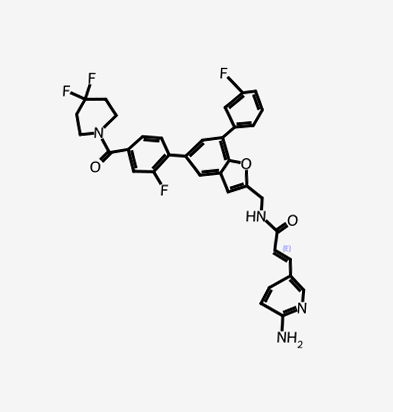 Nc1ccc(/C=C/C(=O)NCc2cc3cc(-c4ccc(C(=O)N5CCC(F)(F)CC5)cc4F)cc(-c4cccc(F)c4)c3o2)cn1